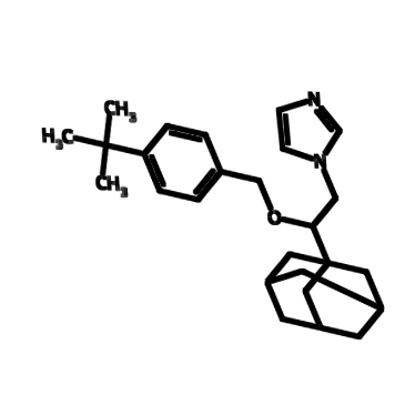 CC(C)(C)c1ccc(COC(Cn2ccnc2)C23CC4CC(CC(C4)C2)C3)cc1